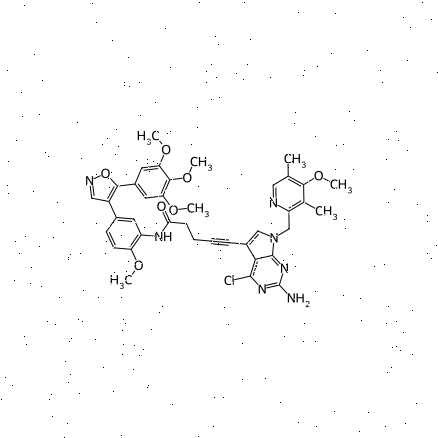 COc1ccc(-c2cnoc2-c2cc(OC)c(OC)c(OC)c2)cc1NC(=O)CCC#Cc1cn(Cc2ncc(C)c(OC)c2C)c2nc(N)nc(Cl)c12